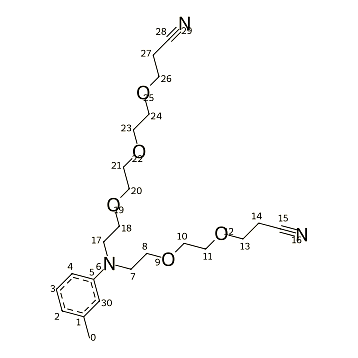 Cc1cccc(N(CCOCCOCCC#N)CCOCCOCCOCCC#N)c1